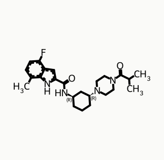 Cc1ccc(F)c2cc(C(=O)N[C@@H]3CCC[C@@H](N4CCN(C(=O)C(C)C)CC4)C3)[nH]c12